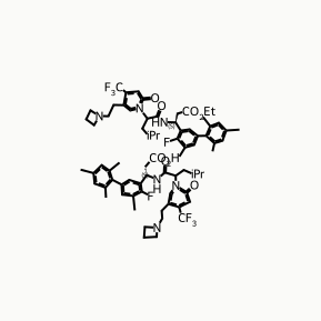 CCOC(=O)C[C@H](NC(=O)C(CC(C)C)n1cc(CCN2CCC2)c(C(F)(F)F)cc1=O)c1cc(-c2c(C)cc(C)cc2C)cc(C)c1F.Cc1cc(C)c(-c2cc(C)c(F)c([C@H](CC(=O)O)NC(=O)C(CC(C)C)n3cc(CCN4CCC4)c(C(F)(F)F)cc3=O)c2)c(C)c1